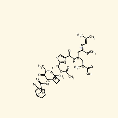 C=N/C(C[C@@H](C[C@H](C)C(=O)O)NC(=O)c1csc([C@@H](C[C@H](C(C)C)N(C)C(=O)[C@@H](NC(=O)[C@H]2CC3CCN2CC3)C2CCC2)OC(C)=O)n1)=N\C=C(C)C